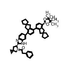 CC1(C)OB(c2ccc(-c3ccc(-c4ccc5nc([C@@H]6CC7(CC7)CN6C(=O)Cc6ccccc6)[nH]c5c4)c4c3CC3(CCCC3)C4)c3c2CC2(CCCC2)C3)OC1(C)C